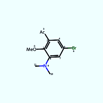 COc1c(C(C)=O)cc(Br)cc1N(C)C